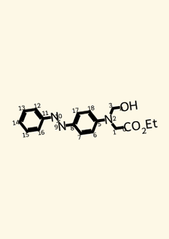 CCOC(=O)CN(CO)c1ccc(N=Nc2ccccc2)cc1